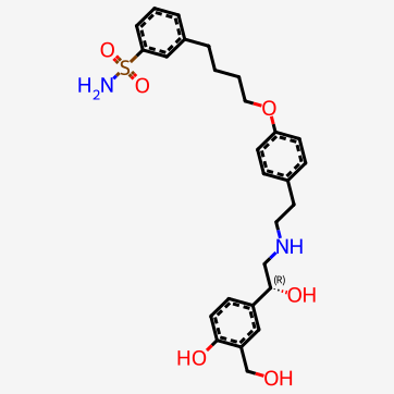 NS(=O)(=O)c1cccc(CCCCOc2ccc(CCNC[C@H](O)c3ccc(O)c(CO)c3)cc2)c1